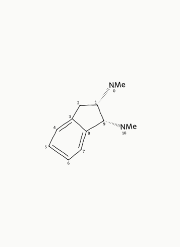 CN[C@H]1Cc2ccccc2[C@H]1NC